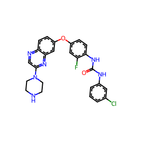 O=C(Nc1cccc(Cl)c1)Nc1ccc(Oc2ccc3ncc(N4CCNCC4)nc3c2)cc1F